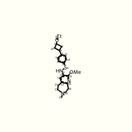 CCOC1CC(c2ccc(SNc3cc4c(nc3OC)CCN(C)CC4)cc2)C1